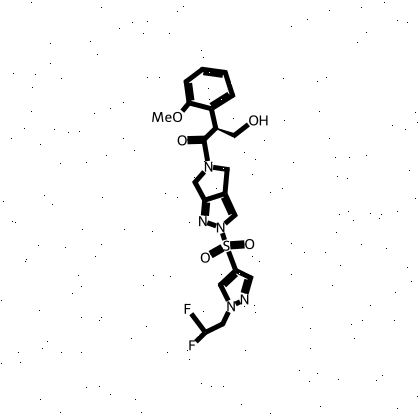 COc1ccccc1[C@@H](CO)C(=O)N1Cc2cn(S(=O)(=O)c3cnn(CC(F)F)c3)nc2C1